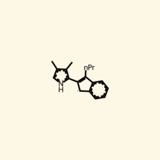 CCCC1=C(c2[nH]cc(C)c2C)[CH]c2ccccc21